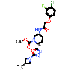 CC(C)(C)OC(=O)N1C[C@@H](NC(=O)COc2ccc(Cl)c(F)c2)CC[C@@H]1c1nnc(N2CC(C(F)(F)F)C2)o1